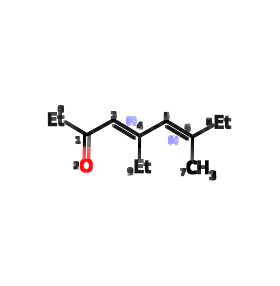 CCC(=O)/C=C(/C=C(\C)CC)CC